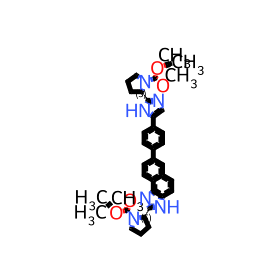 CC(C)(C)OC(=O)N1CCC[C@H]1c1ncc(-c2ccc(-c3ccc4c(ccc5[nH]c([C@@H]6CCCN6C(=O)OC(C)(C)C)nc54)c3)cc2)[nH]1